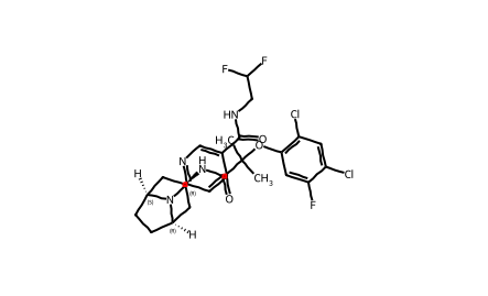 CC(C)(Oc1cc(F)c(Cl)cc1Cl)C(=O)N[C@H]1C[C@H]2CC[C@@H](C1)N2c1ccc(C(=O)NCC(F)F)cn1